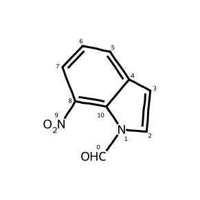 O=Cn1ccc2cccc([N+](=O)[O-])c21